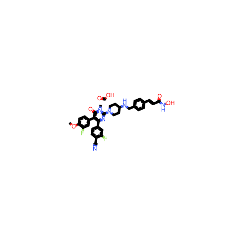 COc1ccc(-c2c(-c3ccc(C#N)c(F)c3)nc(N3CCC(NCc4ccc(/C=C/C(=O)NO)cc4)CC3)n(C)c2=O)cc1F.O=CO